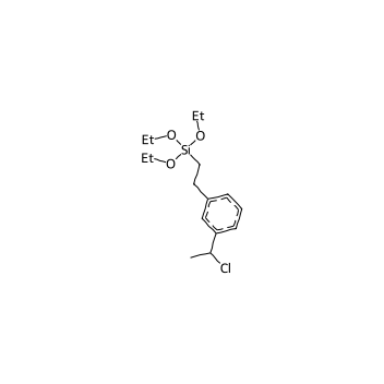 CCO[Si](CCc1cccc(C(C)Cl)c1)(OCC)OCC